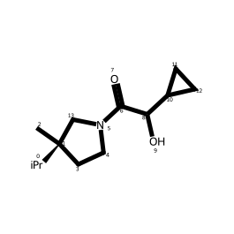 CC(C)[C@]1(C)CCN(C(=O)C(O)C2CC2)C1